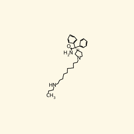 CCCNCCCCCCCCCN1CC[C@@H](C(C(N)=O)(c2ccccc2)c2ccccc2)C1